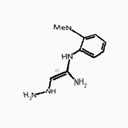 CNc1ccccc1N/C(N)=C/NN